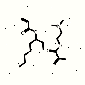 C=C(C)C(=O)OCCN(C)C.C=CC(=O)OC(CC)CCCCC